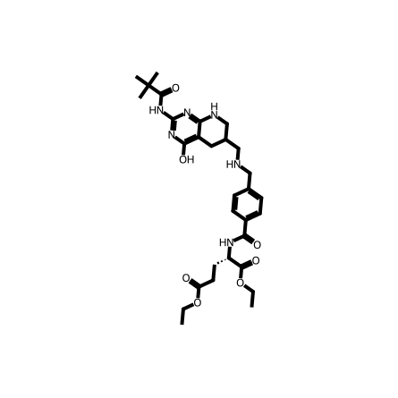 CCOC(=O)CC[C@H](NC(=O)c1ccc(CNCC2CNc3nc(NC(=O)C(C)(C)C)nc(O)c3C2)cc1)C(=O)OCC